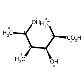 CC(O)[C@H](C)[C@H](O)[C@@H](C)C(=O)O